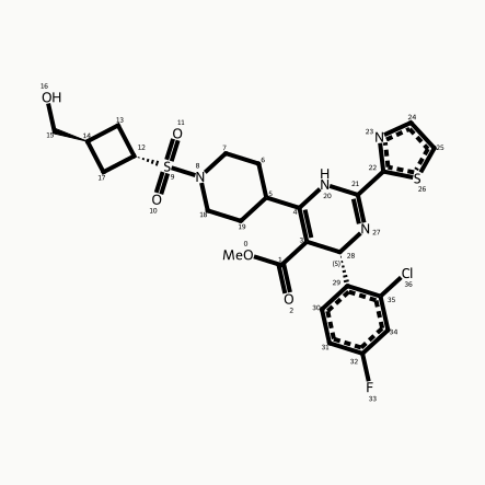 COC(=O)C1=C(C2CCN(S(=O)(=O)[C@H]3C[C@H](CO)C3)CC2)NC(c2nccs2)=N[C@@H]1c1ccc(F)cc1Cl